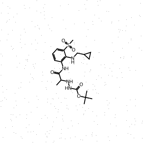 CC(NNC(=O)OC(C)(C)C)C(=O)Nc1cccc(S(C)(=O)=O)c1NCC1CC1